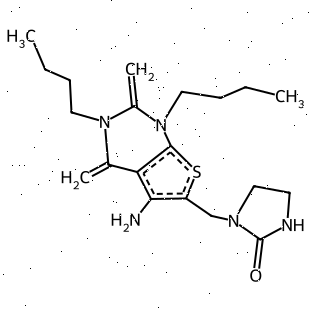 C=C1c2c(sc(CN3CCNC3=O)c2N)N(CCCC)C(=C)N1CCCC